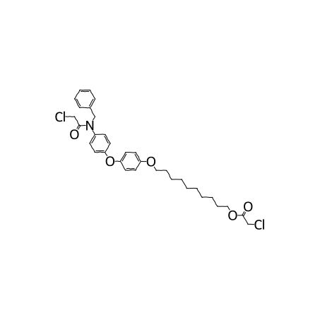 O=C(CCl)OCCCCCCCCCCOc1ccc(Oc2ccc(N(Cc3ccccc3)C(=O)CCl)cc2)cc1